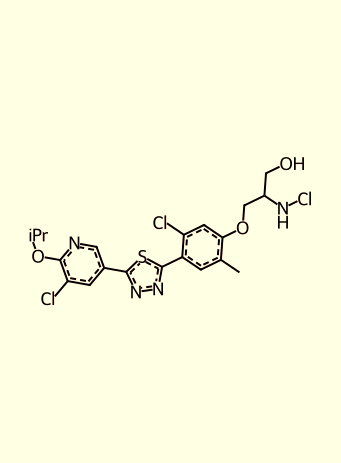 Cc1cc(-c2nnc(-c3cnc(OC(C)C)c(Cl)c3)s2)c(Cl)cc1OCC(CO)NCl